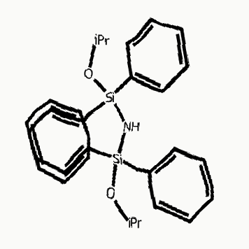 CC(C)O[Si](N[Si](OC(C)C)(c1ccccc1)c1ccccc1)(c1ccccc1)c1ccccc1